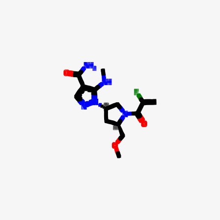 C=C(F)C(=O)N1C[C@@H](n2ncc(C(N)=O)c2NC)C[C@@H]1COC